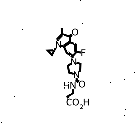 Cc1cn(C2CC2)c2cc(N3CCN(C(=O)NCCC(=O)O)CC3)c(F)cc2c1=O